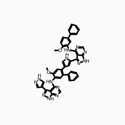 COc1cc(-c2c[nH]c(-c3n[nH]c4ncnc(Nc5cc(-c6ccccc6)ccc5OC)c34)c2)c(-c2ccccc2)cc1Nc1ncnc2[nH]nc(-c3cn[nH]c3)c12